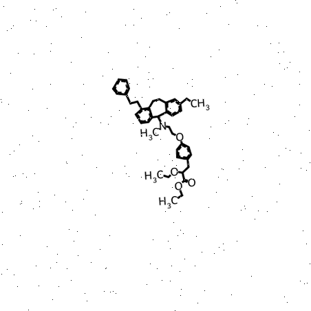 CCOC(=O)C(Cc1ccc(OCCN(C)C2c3ccc(CC)cc3CCc3c(CCc4ccccc4)cccc32)cc1)OCC